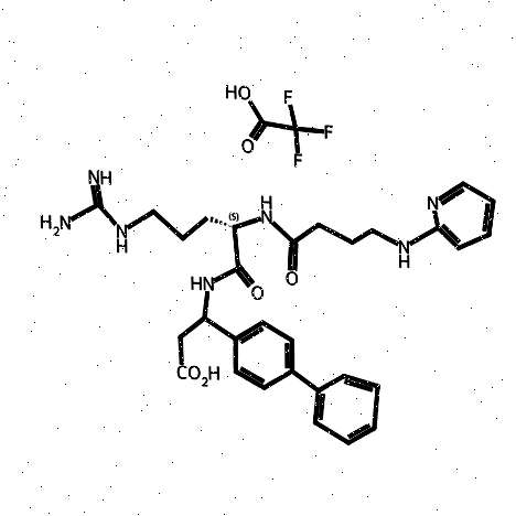 N=C(N)NCCC[C@H](NC(=O)CCCNc1ccccn1)C(=O)NC(CC(=O)O)c1ccc(-c2ccccc2)cc1.O=C(O)C(F)(F)F